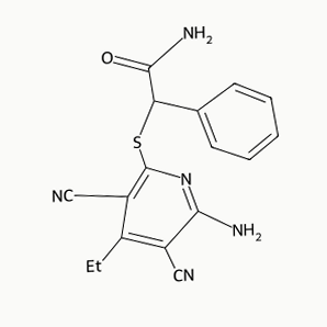 CCc1c(C#N)c(N)nc(SC(C(N)=O)c2ccccc2)c1C#N